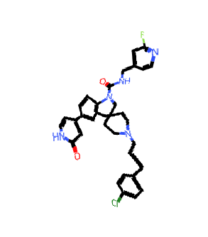 O=C(NCc1ccnc(F)c1)N1CC2(CCN(CC=Cc3ccc(Cl)cc3)CC2)c2cc(-c3cc[nH]c(=O)c3)ccc21